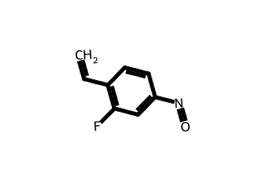 C=Cc1ccc(N=O)cc1F